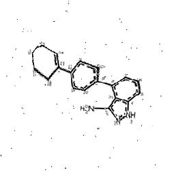 Nc1n[nH]c2cccc(-c3ccc(C4=CCCCC4)cc3)c12